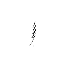 CCCCCCCc1ccc(C(=O)Oc2ccc(C3CCC(CC)CC3)cc2)cc1